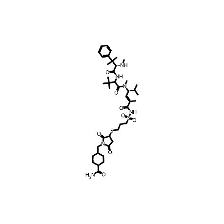 CN[C@H](C(=O)NC(C(=O)N(C)[C@H](/C=C(\C)C(=O)NS(=O)(=O)CCCSC1CC(=O)N(CC2CCC(C(N)=O)CC2)C1=O)C(C)C)C(C)(C)C)C(C)(C)c1ccccc1